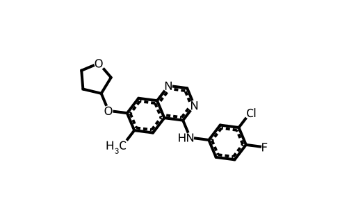 Cc1cc2c(Nc3ccc(F)c(Cl)c3)ncnc2cc1OC1CCOC1